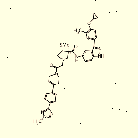 CS[C@@]1(C(=O)Nc2ccc3[nH]nc(-c4ccc(OC5CC5)c(C)n4)c3c2)CCN(CC(=O)N2CC=C(c3ccc(-c4ncn(C)n4)cc3)CC2)C1